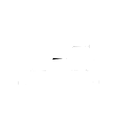 COCC[C@H](OC(C)=O)C(=O)O